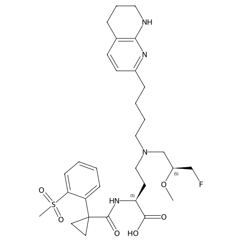 CO[C@H](CF)CN(CCCCc1ccc2c(n1)NCCC2)CC[C@H](NC(=O)C1(c2ccccc2S(C)(=O)=O)CC1)C(=O)O